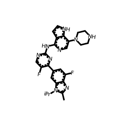 Cc1nc2c(F)cc(-c3nc(Nc4ncc(N5CCNCC5)c5[nH]ccc45)ncc3F)cc2n1C(C)C